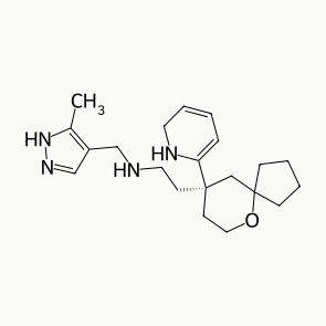 Cc1[nH]ncc1CNCC[C@@]1(C2=CC=CCN2)CCOC2(CCCC2)C1